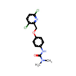 CN(C)C(=O)Nc1ccc(OCc2nc(Cl)ccc2Cl)cc1